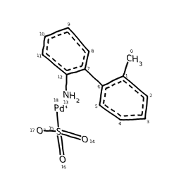 Cc1ccccc1-c1ccccc1N.O=[S](=O)([O-])[Pd+]